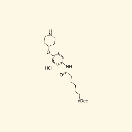 CCCCCCCCCCCCCCCC(=O)Nc1ccc(OC2CCNCC2)c(C)c1.Cl